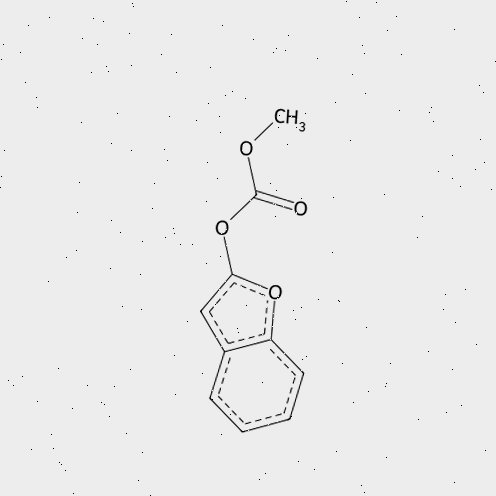 COC(=O)Oc1cc2ccccc2o1